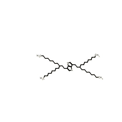 CCCCCCCCCC(CCCCCCCC)CCc1csc2c(CCC(CCCCCCCC)CCCCCCCCC)csc12